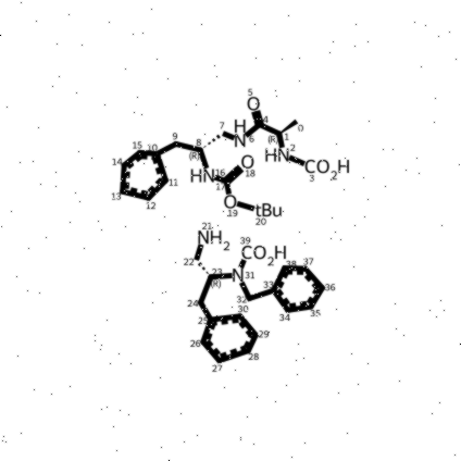 C[C@@H](NC(=O)O)C(=O)NC[C@@H](Cc1ccccc1)NC(=O)OC(C)(C)C.NC[C@@H](Cc1ccccc1)N(Cc1ccccc1)C(=O)O